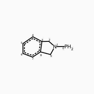 PN1Cc2ccccc2C1